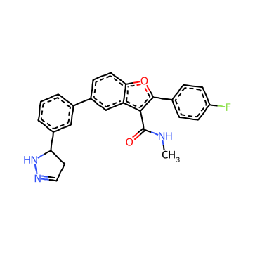 CNC(=O)c1c(-c2ccc(F)cc2)oc2ccc(-c3cccc(C4CC=NN4)c3)cc12